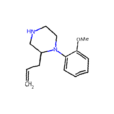 C=CCC1CNCCN1c1ccccc1OC